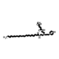 CCC=CCC=CCC=CCC=CCC=CCC=CCCC(=O)NCCN(CCCN1CCNCC1)CCNC(=O)C=CC(=O)OC